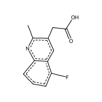 Cc1nc2cccc(F)c2cc1CC(=O)O